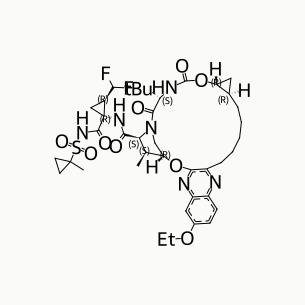 CCOc1ccc2nc3c(nc2c1)O[C@H]1CN(C(=O)[C@H](C(C)(C)C)NC(=O)O[C@@H]2C[C@H]2CCCCC3)[C@H](C(=O)N[C@]2(C(=O)NS(=O)(=O)C3(C)CC3)C[C@H]2C(F)F)[C@@H]1C